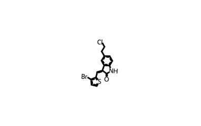 O=C1Nc2ccc(CCCl)cc2C1=Cc1sccc1Br